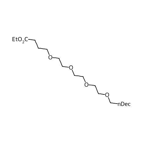 CCCCCCCCCCCOCCOCCOCCOCCCC(=O)OCC